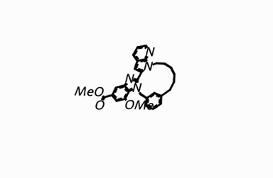 COC(=O)c1cc(OC)c2c(c1)nc1n2Cc2cccc(c2)CCCCCCn2c-1cc1cccnc12